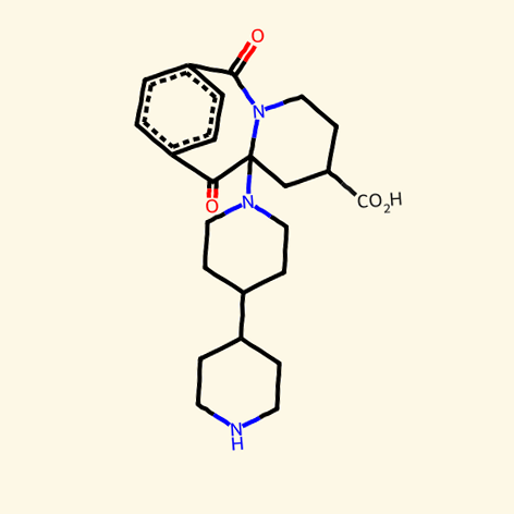 O=C(O)C1CCN2C(=O)c3ccc(cc3)C(=O)C2(N2CCC(C3CCNCC3)CC2)C1